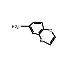 O=C(O)c1ccc2c(c1)NC=CO2